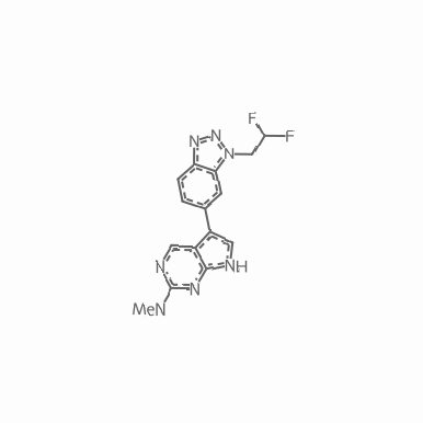 CNc1ncc2c(-c3ccc4nnn(CC(F)F)c4c3)c[nH]c2n1